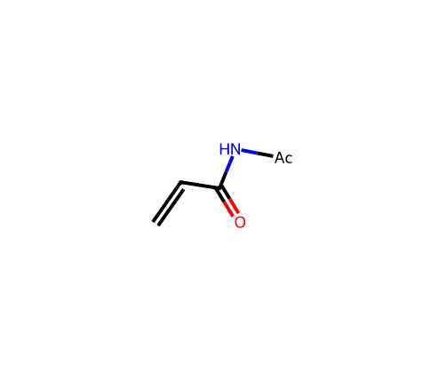 C=CC(=O)[NH][Ac]